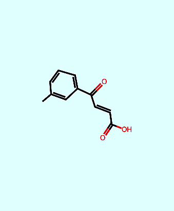 Cc1cccc(C(=O)/C=C/C(=O)O)c1